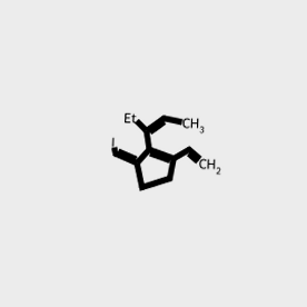 C=CC1=C(/C(=C\C)CC)/C(=C\I)CC1